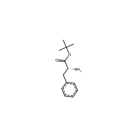 CC(C)(C)OC(=O)[C@H](N)Cc1ccccc1